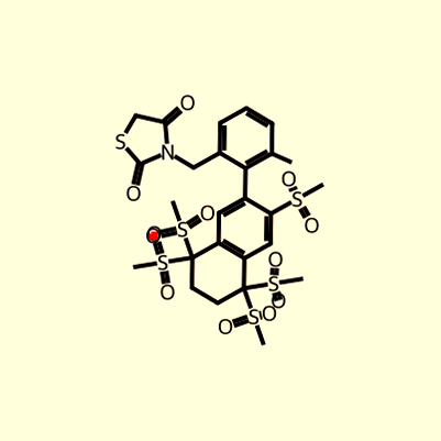 Cc1cccc(CN2C(=O)CSC2=O)c1-c1cc2c(cc1S(C)(=O)=O)C(S(C)(=O)=O)(S(C)(=O)=O)CCC2(S(C)(=O)=O)S(C)(=O)=O